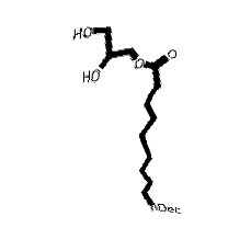 CCCCCCCCCCCCCCCCCCC(=O)OCC(O)CO